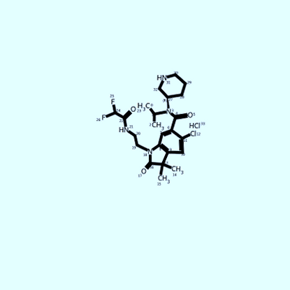 CC(C)N(C(=O)c1cc2c(cc1Cl)C(C)(C)C(=O)N2CCNC(=O)C(F)F)[C@@H]1CCCNC1.Cl